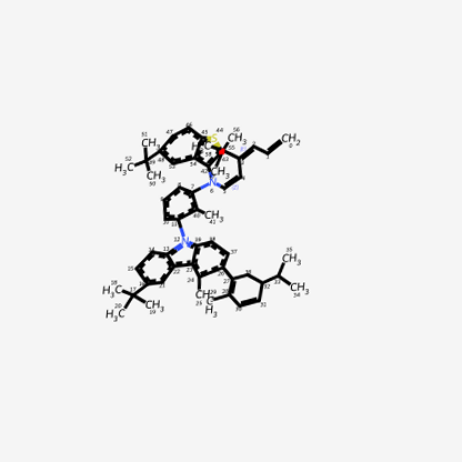 C=C/C=C(\C=C/N(c1cccc(-n2c3ccc(C(C)(C)C)cc3c3c(C)c(C4=C(C)C=CC(C(C)C)C4)ccc32)c1C)c1csc2ccc(C(C)(C)C)cc12)C(C)(C)C